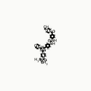 CCN1CCN(C(=O)c2ccc(NC(=O)Nc3ccc(-c4nc(N5CCOCC5)nc(N5CCN(C(=O)N(C)C)CC5)n4)cc3)cc2)CC1